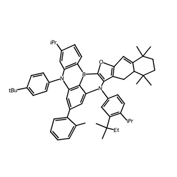 CCC(C)(C)c1cc(N2c3cc(-c4ccccc4C)cc4c3B(c3ccc(C(C)C)cc3N4c3ccc(C(C)(C)C)cc3)c3oc4c(c32)CC2C(=C4)C(C)(C)CCC2(C)C)ccc1C(C)C